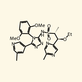 CCO[C@@H](c1cnc(C)cn1)[C@@H](C)S(=O)(=O)Nc1nnc(-c2cncc(C)c2)n1-c1c(OC)cccc1OC